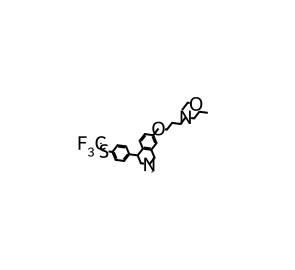 CC1CN(CCCOc2ccc3c(c2)CN(C)CC3c2ccc(SC(F)(F)F)cc2)CCO1